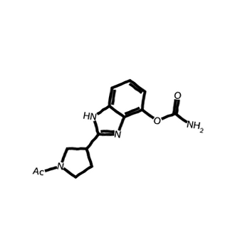 CC(=O)N1CCC(c2nc3c(OC(N)=O)cccc3[nH]2)C1